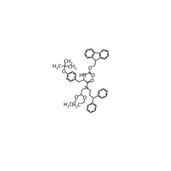 CCOC(CN(CCC(c1ccccc1)c1ccccc1)C(=O)C(Cc1ccc(OC(C)(C)C)cc1)NC(=O)OCC1c2ccccc2-c2ccccc21)OCC